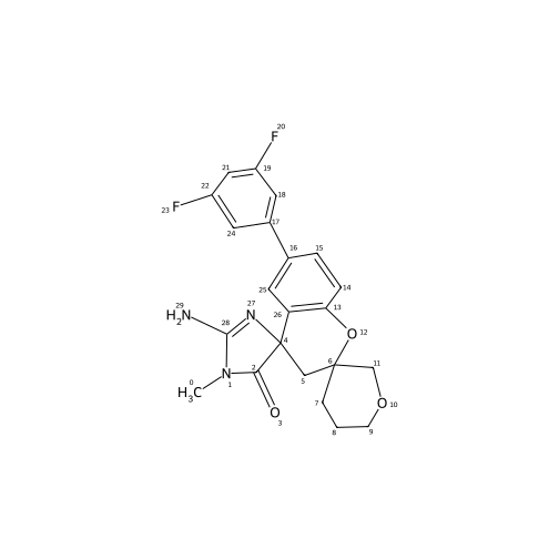 CN1C(=O)C2(CC3(CCCOC3)Oc3ccc(-c4cc(F)cc(F)c4)cc32)N=C1N